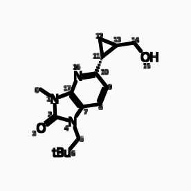 Cn1c(=O)n(CC(C)(C)C)c2ccc([C@@H]3CC3CO)nc21